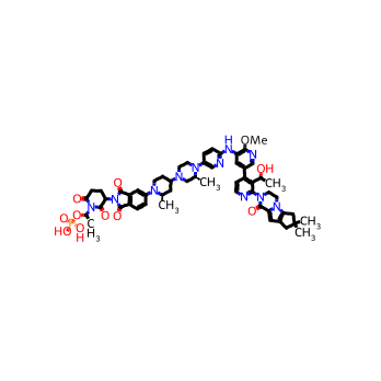 COc1ncc(-c2ccnc(N3CCn4c(cc5c4CC(C)(C)C5)C3=O)c2C(C)O)cc1Nc1ccc(N2CCN(C3CCN(c4ccc5c(c4)C(=O)N(C4CCC(=O)N(C(C)OP(=O)(O)O)C4=O)C5=O)[C@H](C)C3)C[C@@H]2C)cn1